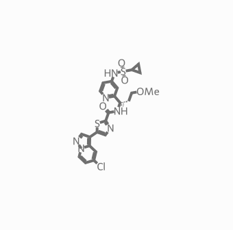 COCC[C@H](NC(=O)c1ncc(-c2cnn3ccc(Cl)cc23)s1)c1cc(NS(=O)(=O)C2CC2)ccn1